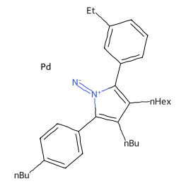 CCCCCCC1=C(c2cccc(CC)c2)[N+](=[N-])C(c2ccc(CCCC)cc2)=C1CCCC.[Pd]